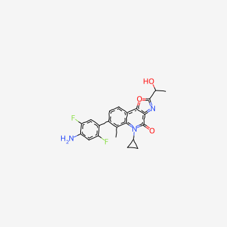 Cc1c(-c2cc(F)c(N)cc2F)ccc2c3oc(C(C)O)nc3c(=O)n(C3CC3)c12